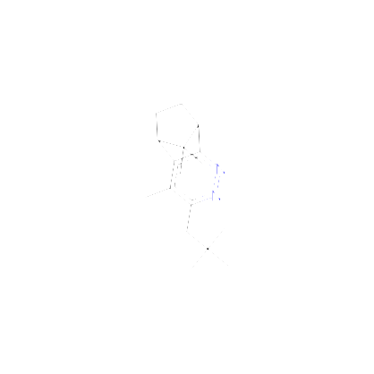 Cc1c(CC(C)(C)C)nnc2c1C1CCC2C1(C)C